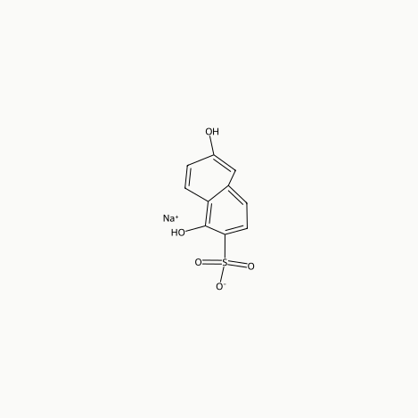 O=S(=O)([O-])c1ccc2cc(O)ccc2c1O.[Na+]